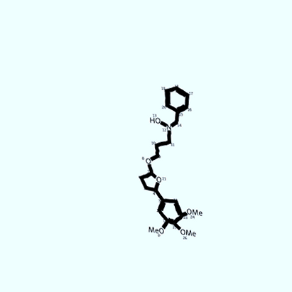 COc1cc(C2CCC(OCCCN(O)Cc3ccccc3)O2)cc(OC)c1OC